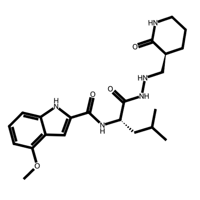 COc1cccc2[nH]c(C(=O)N[C@@H](CC(C)C)C(=O)NNC[C@@H]3CCCNC3=O)cc12